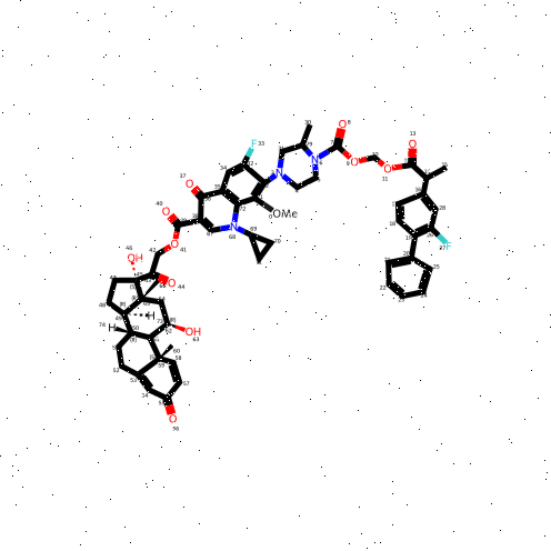 COc1c(N2CCN(C(=O)OCOC(=O)C(C)c3ccc(-c4ccccc4)c(F)c3)C(C)C2)c(F)cc2c(=O)c(C(=O)OCC(=O)[C@]3(O)CC[C@@H]4[C@H]5CCC6=CC(=O)C=C[C@@]6(C)C5[C@H](O)C[C@]43C)cn(C3CC3)c12